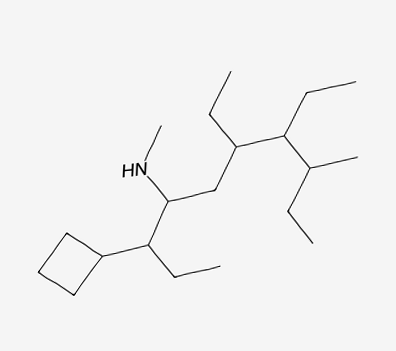 CCC(C)C(CC)C(CC)CC(NC)C(CC)C1CCC1